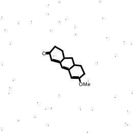 COC1=CC2=CC3=CC(=O)CCC3CC2CC1